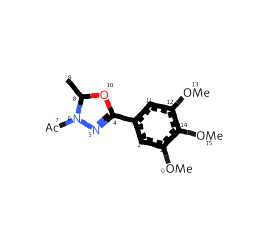 COc1cc(C2=NN(C(C)=O)C(C)O2)cc(OC)c1OC